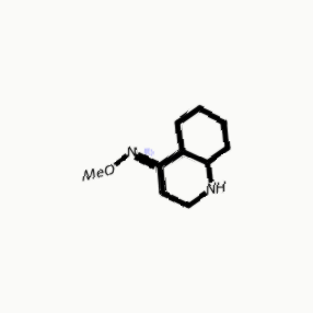 CO/N=C1\CCNC2CCCCC12